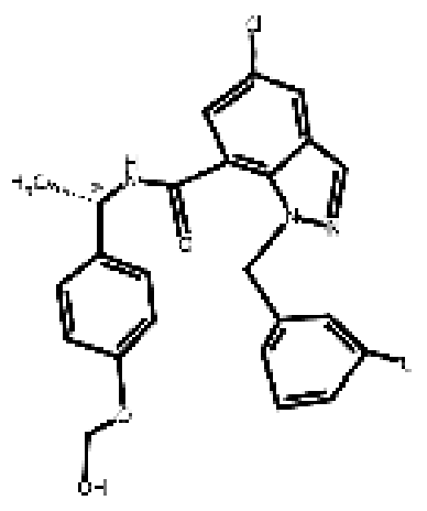 C[C@H](NC(=O)c1cc(Cl)cc2cnn(Cc3cccc(Cl)c3)c12)c1ccc(OCO)cc1